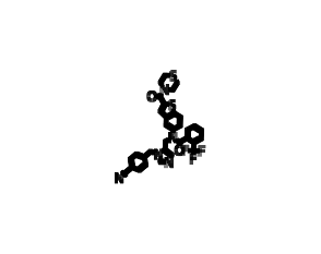 N#Cc1ccc(Cn2cncc2CN(C(=O)c2ccccc2C(F)(F)F)c2ccc3sc(C(=O)N4CCSCC4)cc3c2)cc1